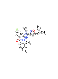 Cc1ccc(NC(=O)[C@H]2CC(F)(F)C[C@@H]2c2nnc(-c3cc(CC(C)C)on3)n2C2CC2)c(C)c1